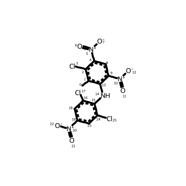 Cc1c(Cl)c([N+](=O)[O-])cc([N+](=O)[O-])c1Nc1c(Cl)cc([N+](=O)[O-])cc1Cl